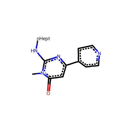 CCCCCCCNc1nc(-c2ccncc2)cc(=O)n1C